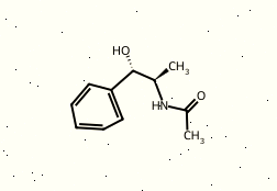 CC(=O)N[C@H](C)[C@@H](O)c1ccccc1